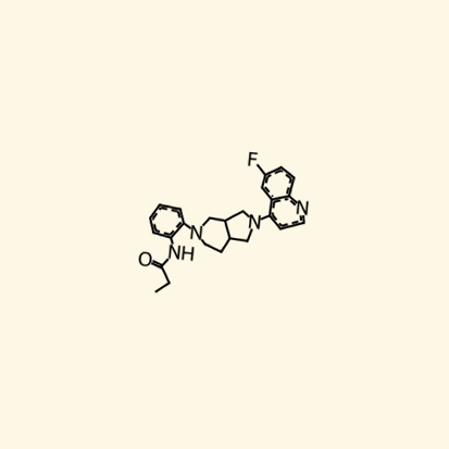 CCC(=O)Nc1ccccc1N1CCC2CN(c3ccnc4ccc(F)cc34)CC2C1